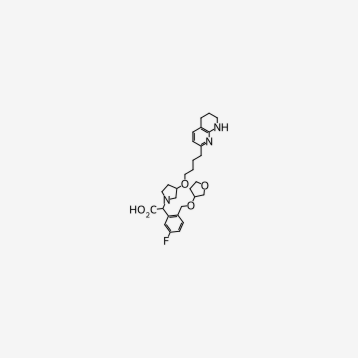 O=C(O)C(c1cc(F)ccc1COC1CCOC1)N1CCC(OCCCCc2ccc3c(n2)NCCC3)C1